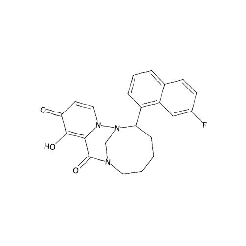 O=C1c2c(O)c(=O)ccn2N2CN1CCCCC2c1cccc2ccc(F)cc12